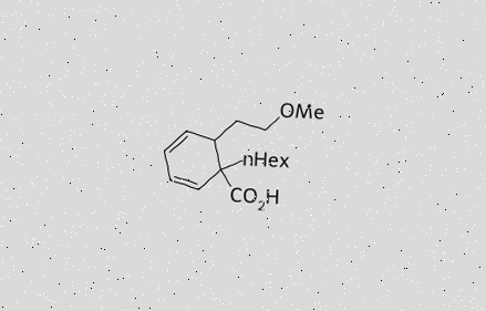 CCCCCCC1(C(=O)O)C=CC=CC1CCOC